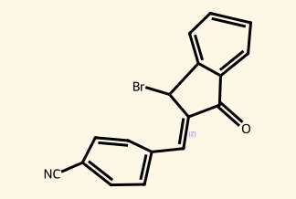 N#Cc1ccc(/C=C2/C(=O)c3ccccc3C2Br)cc1